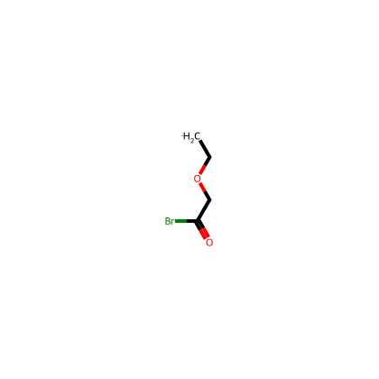 [CH2]COCC(=O)Br